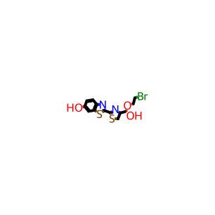 Oc1ccc2nc(C3=NC(C(O)OCCBr)CS3)sc2c1